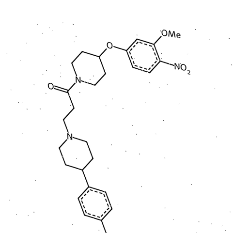 COc1ccc(C2CCN(CCC(=O)N3CCC(Oc4ccc([N+](=O)[O-])c(OC)c4)CC3)CC2)cc1